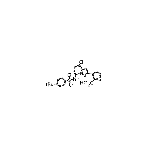 CC(C)(C)c1ccc(S(=O)(=O)Nc2ccc(Cl)c3cc(-c4ccsc4C(=O)O)nn23)cc1